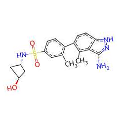 Cc1cc(S(=O)(=O)N[C@H]2C[C@H](O)C2)ccc1-c1ccc2[nH]nc(N)c2c1C